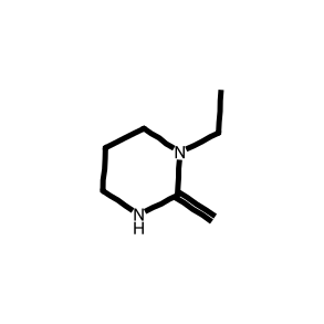 C=C1NCCCN1CC